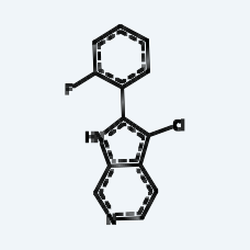 Fc1ccccc1-c1[nH]c2cnccc2c1Cl